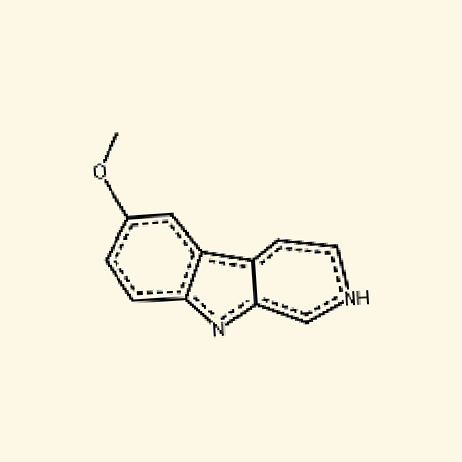 COc1ccc2nc3c[nH]ccc-3c2c1